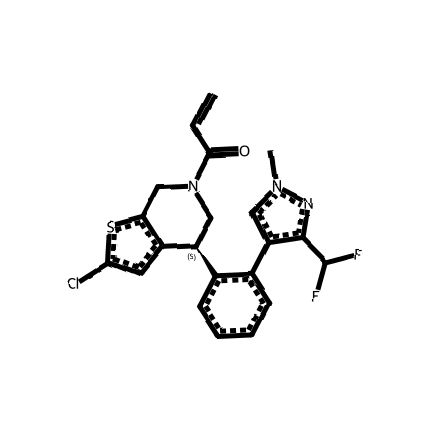 C=CC(=O)N1Cc2sc(Cl)cc2[C@H](c2ccccc2-c2cn(C)nc2C(F)F)C1